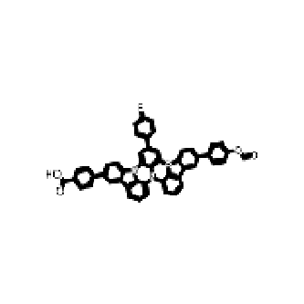 O=COc1ccc(-c2ccc3c(c2)-c2cccc4c2B3c2cc(-c3ccc(F)cc3)cc3c2N4c2cccc4c2B3c2ccc(-c3ccc(C(=O)O)cc3)cc2-4)cc1